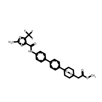 COC(=O)CC12CCC(c3ccc(-c4ccc(NC(=O)c5nc(C)oc5C(F)(F)F)cc4)cc3)(CC1)CO2